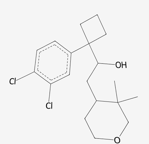 CC1(C)COCCC1CC(O)C1(c2ccc(Cl)c(Cl)c2)CCC1